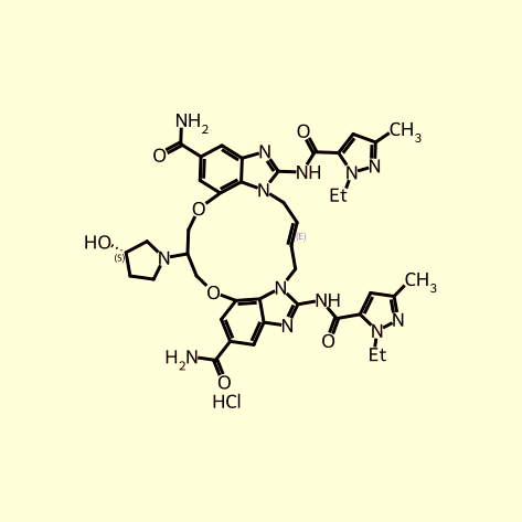 CCn1nc(C)cc1C(=O)Nc1nc2cc(C(N)=O)cc3c2n1C/C=C/Cn1c(NC(=O)c2cc(C)nn2CC)nc2cc(C(N)=O)cc(c21)OCC(N1CC[C@H](O)C1)CO3.Cl